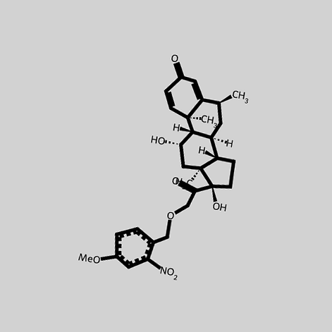 COc1ccc(COCC(=O)[C@@]2(O)CC[C@H]3[C@@H]4C[C@H](C)C5=CC(=O)C=C[C@]5(C)[C@H]4[C@@H](O)C[C@@]32C)c([N+](=O)[O-])c1